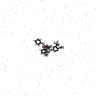 N#Cc1ccc(N2C[C@H]3[C@H]4C=C[C@H](C4)[C@@]3(C(=O)OCc3ccccc3)S2(=O)=O)cc1C(F)(F)F